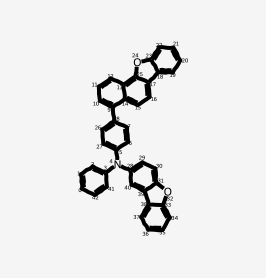 c1ccc(N(c2ccc(-c3cccc4c3ccc3c5ccccc5oc43)cc2)c2ccc3oc4ccccc4c3c2)cc1